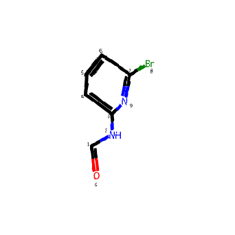 O=CNc1cccc(Br)n1